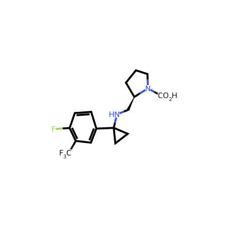 O=C(O)N1CCC[C@@H]1CNC1(c2ccc(F)c(C(F)(F)F)c2)CC1